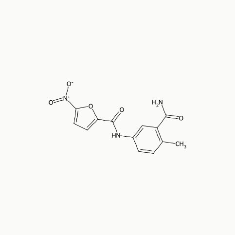 Cc1ccc(NC(=O)c2ccc([N+](=O)[O-])o2)cc1C(N)=O